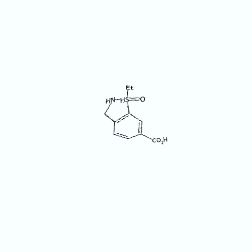 CC[SH]1(=O)NCc2ccc(C(=O)O)cc21